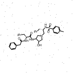 Cc1ccc(S(=O)(=O)N[C@@H](CC(C)C)CN2CC(O)C(NC(=O)[C@H](CC(C)C)NC(=O)Cc3ccccc3)C2)cc1